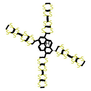 C1=CC2=C(C3CSC4=C(SC(=C5SC6=C(SCCS6)S5)S4)S3)C=C(C3CSC4=C(SC(=C5SC6=C(SCCS6)S5)S4)S3)C3=CC=C4C(=C1C(C1CSC5=C(SC(=C6SC7=C(SCCS7)S6)S5)S1)=C[C@H]4C1CSC4=C(SC(=C5SC6=C(SCCS6)S5)S4)S1)[C@@H]32